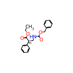 CCOC(=O)[C@@H](CNC(=O)OCc1ccccc1)c1ccccc1